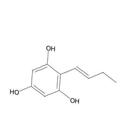 CC/C=C/c1c(O)cc(O)cc1O